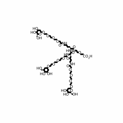 O=C(O)CCOCCNC(=O)[C@H](CCCCNC(=O)COCCOCCOCCO[C@H]1C[C@@H](O)[C@@H](O)[C@@H](CO)O1)NC(=O)[C@H](CCCCNC(=O)COCCOCCOCCO[C@H]1C[C@@H](O)[C@@H](O)[C@@H](CO)O1)NC(=O)COCCOCCOCCO[C@@H]1C[C@H](CO)[C@H](O)[C@H](O)C1